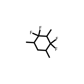 CC1CC(C)C(F)(F)C(C)C1(F)F